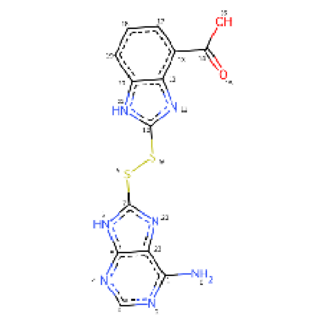 Nc1ncnc2[nH]c(SSc3nc4c(C(=O)O)cccc4[nH]3)nc12